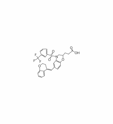 O=C(O)CCC1CN(S(=O)(=O)c2cccc(C(F)(F)F)c2)c2cc(C=C3CCOc4ccccc43)ccc2O1